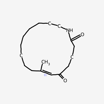 C/C1=C\C(=O)CCCC(=O)NCCCCCCCCC1